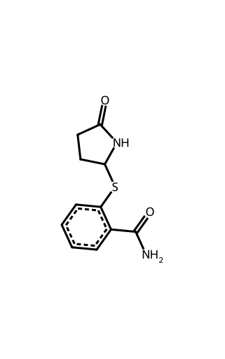 NC(=O)c1ccccc1SC1CCC(=O)N1